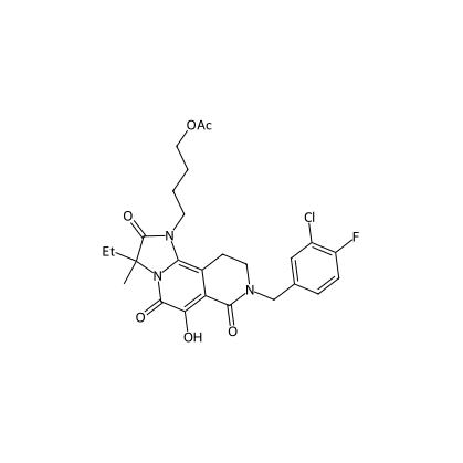 CCC1(C)C(=O)N(CCCCOC(C)=O)c2c3c(c(O)c(=O)n21)C(=O)N(Cc1ccc(F)c(Cl)c1)CC3